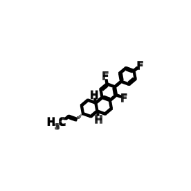 C/C=C/[C@@H]1CC[C@@H]2c3cc(F)c(-c4ccc(F)cc4)c(F)c3CC[C@@H]2C1